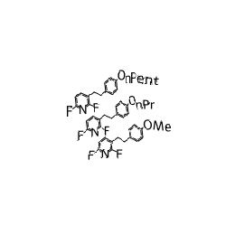 CCCCCOc1ccc(CCc2ccc(F)nc2F)cc1.CCCOc1ccc(CCc2ccc(F)nc2F)cc1.COc1ccc(CCc2ccc(F)nc2F)cc1